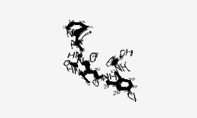 Cc1[nH]c(=O)n(NCC(F)(F)c2ccccn2)c(=O)c1CC(=O)NCc1cc(Cl)ccc1CNC(=O)O